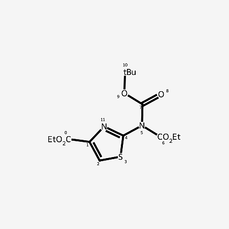 CCOC(=O)c1csc(N(C(=O)OCC)C(=O)OC(C)(C)C)n1